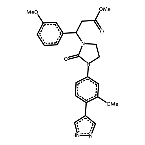 COC(=O)CC(c1cccc(OC)c1)N1CCN(c2ccc(-c3cn[nH]c3)c(OC)c2)C1=O